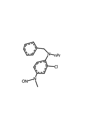 CCCN(Cc1ccccc1)c1ccc(N(C)N=O)cc1Cl